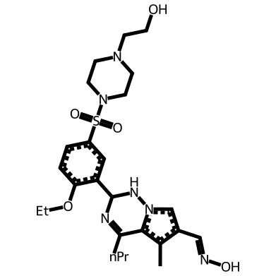 CCCC1=NC(c2cc(S(=O)(=O)N3CCN(CCO)CC3)ccc2OCC)Nn2cc(C=NO)c(C)c21